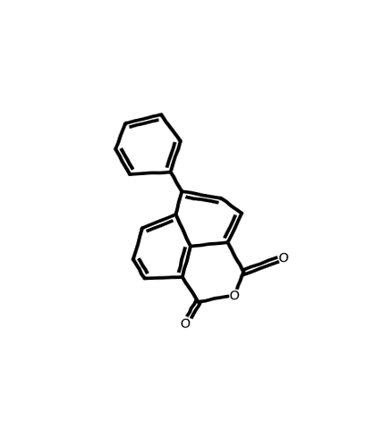 O=C1OC(=O)c2ccc(-c3ccccc3)c3cccc1c23